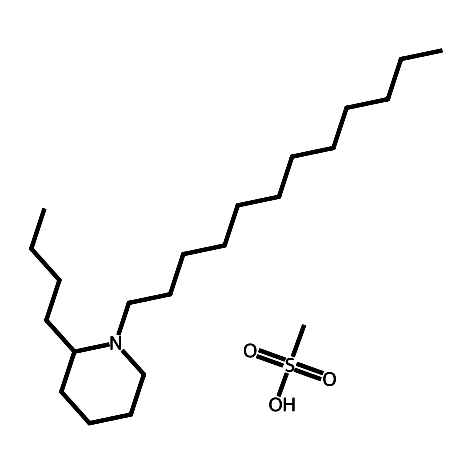 CCCCCCCCCCCCN1CCCCC1CCCC.CS(=O)(=O)O